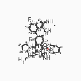 C[C@H](Oc1nc(N2CC3CCC(C2)N3C(=O)[C@@H]2N[C@H]2C2CC2)c2cc(Cl)c(-c3ccc(F)c4sc(N)c(C#N)c34)c(F)c2n1)[C@@H]1CCCN1C